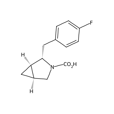 O=C(O)N1C[C@H]2C[C@H]2[C@@H]1Cc1ccc(F)cc1